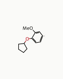 COc1c[c]ccc1OC1CCCC1